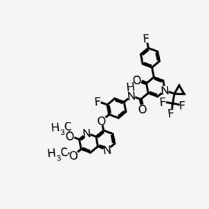 COc1cc2nccc(Oc3ccc(NC(=O)c4cn(C5(C(F)(F)F)CC5)cc(-c5ccc(F)cc5)c4=O)cc3F)c2nc1OC